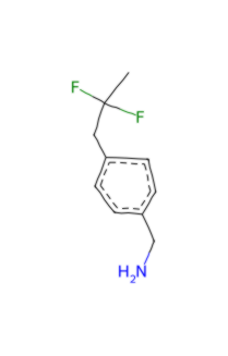 CC(F)(F)Cc1ccc(CN)cc1